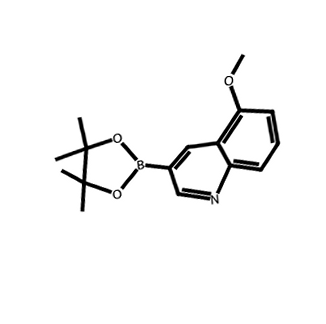 COc1cccc2ncc(B3OC(C)(C)C(C)(C)O3)cc12